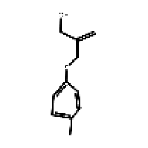 C=C(CO)CSc1ccc(C)cc1